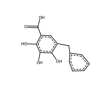 O=C(O)c1cc(Cc2ccccc2)c(O)c(O)c1O